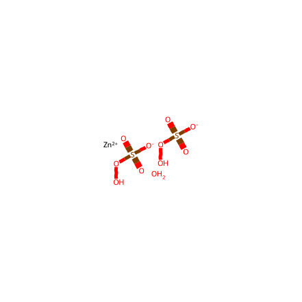 O.O=S(=O)([O-])OO.O=S(=O)([O-])OO.[Zn+2]